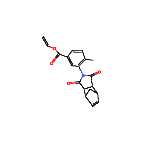 C=COC(=O)c1ccc(C)c(N2C(=O)C3C4C=CC(C4)C3C2=O)c1